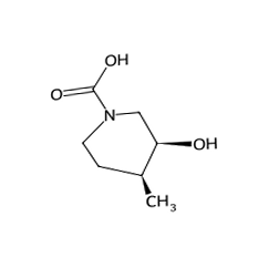 C[C@H]1CCN(C(=O)O)C[C@H]1O